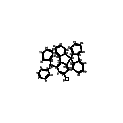 Clc1cc(N(c2ccccc2)c2ccccc2)c2c(c1)C1(c3ccccc3-c3ccccc31)c1ccccc1-2